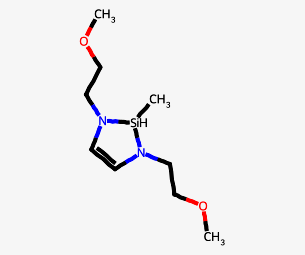 COCCN1C=CN(CCOC)[SiH]1C